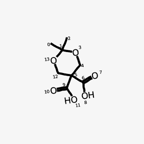 CC1(C)OCC(C(=O)O)(C(=O)O)CO1